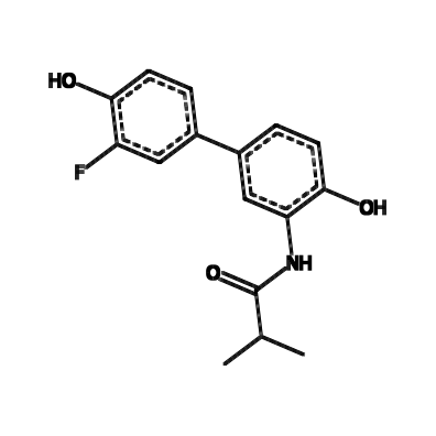 CC(C)C(=O)Nc1cc(-c2ccc(O)c(F)c2)ccc1O